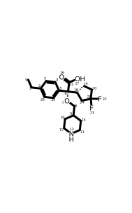 CCc1ccc([C@@](OCC2CCNCC2)(C(=O)O)[C@@H]2CCC(F)(F)C2)cc1